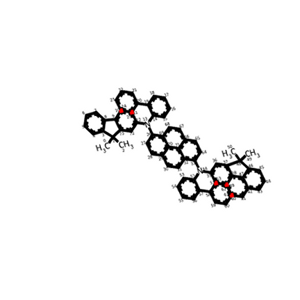 CC1(C)c2ccccc2-c2ccc(N(c3ccccc3-c3ccccc3)c3ccc4ccc5c(N(c6cc7c8c(ccc9cccc(c98)C7(C)C)c6)c6ccccc6-c6ccccc6)ccc6ccc3c4c65)cc21